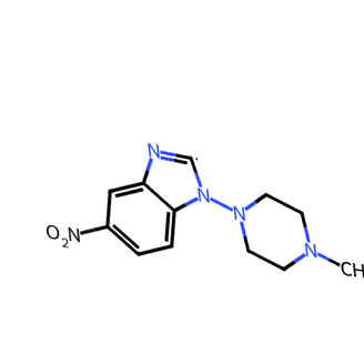 CN1CCN(n2[c]nc3cc([N+](=O)[O-])ccc32)CC1